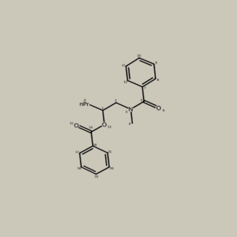 CCCC(CN(C)C(=O)c1ccccc1)OC(=O)c1ccccc1